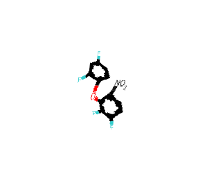 O=[N+]([O-])c1ccc(F)c(F)c1Oc1ccc(F)cc1F